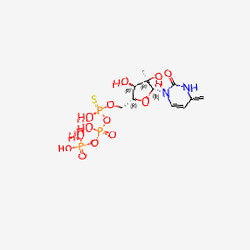 C=C1C=CN([C@@H]2O[C@H](COP(O)(=S)OP(=O)(O)OP(=O)(O)O)[C@@H](O)[C@@]2(C)O)C(=O)N1